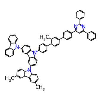 Cc1ccc2c(c1)c1cc(C)ccc1n2-c1ccc2c(c1)c1cc(-n3c4ccccc4c4ccccc43)ccc1n2-c1ccc(-c2ccc(-c3ccc(-c4cc(-c5ccccc5)nc(-c5ccccc5)n4)cc3)cc2C)cc1